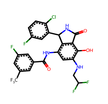 O=C(Nc1cc(NCC(F)F)c(O)c2c1C(c1cc(F)ccc1Cl)NC2=O)c1cc(F)cc(C(F)(F)F)c1